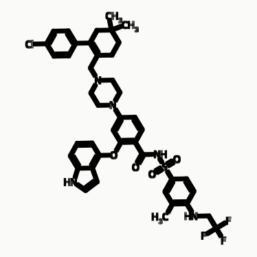 Cc1cc(S(=O)(=O)NC(=O)c2ccc(N3CCN(CC4=C(c5ccc(Cl)cc5)CC(C)(C)CC4)CC3)cc2Oc2cccc3[nH]ccc23)ccc1NCC(F)(F)F